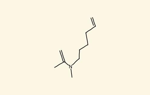 C=CCCCCN(C)C(=C)C